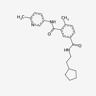 Cc1ccc(NC(=O)c2cc(C(=O)NCCC3CCCC3)ccc2C)cn1